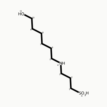 O=S(=O)(O)CCCNCCCCCCO